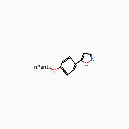 CCCCCOc1ccc(-c2ccno2)cc1